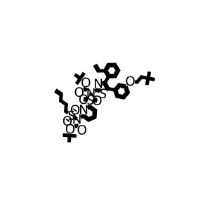 C=CCCCS(=O)(=O)N(C(=O)OC(C)(C)C)c1cccc(S(=O)(=O)N(C(=O)OC(C)(C)C)c2nc(-c3ccccc3C=C)c(-c3cccc(OCCC(C)(C)C)c3)s2)n1